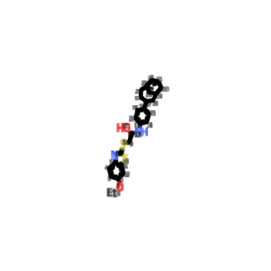 CCOc1ccc2nc(SCC(O)Nc3ccc(C4CC5CC6CC(C5)C(C6)C4)cc3)sc2c1